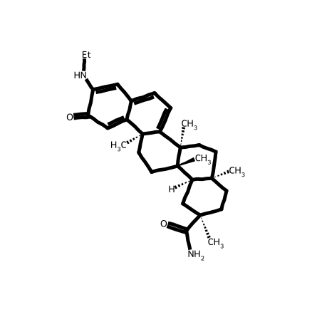 CCNC1=CC2=CC=C3[C@@](C)(CC[C@@]4(C)[C@@H]5C[C@](C)(C(N)=O)CC[C@]5(C)CC[C@]34C)C2=CC1=O